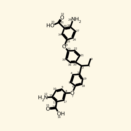 CCC(c1ccc(Oc2ccc(N)c(C(=O)O)c2)cc1)c1ccc(Oc2ccc(N)c(C(=O)O)c2)cc1